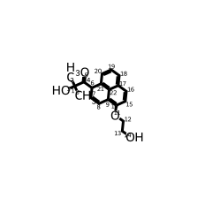 CC(C)(O)C(=O)C1C=Cc2c(OCCO)ccc3cccc1c23